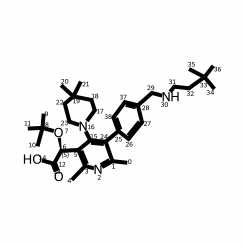 Cc1nc(C)c([C@H](OC(C)(C)C)C(=O)O)c(N2CCC(C)(C)CC2)c1-c1ccc(CNCCC(C)(C)C)cc1